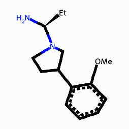 CC[C@H](N)N1CCC(c2ccccc2OC)C1